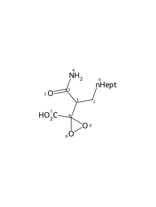 CCCCCCCCC(C(N)=O)C1(C(=O)O)OO1